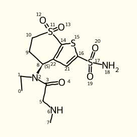 CCN(C(=O)CNC)[C@H]1CCS(=O)(=O)c2sc(S(N)(=O)=O)cc21